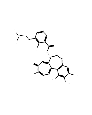 COc1cc2c(c(OC)c1OC)-c1ccc(SC)c(=O)cc1[C@@H](NC(=O)c1cccc(CON(O)O)c1C#N)CC2